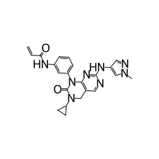 C=CC(=O)Nc1cccc(N2C(=O)N(C3CC3)Cc3cnc(Nc4cnn(C)c4)nc32)c1